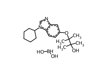 CC(C)(O)C(C)(C)Oc1ccc2c(c1)ncn2C1CCCCC1.OBO